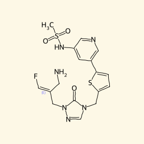 CS(=O)(=O)Nc1cncc(-c2ccc(Cn3cnn(C/C(=C/F)CN)c3=O)s2)c1